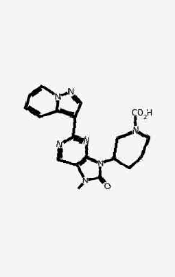 Cn1c(=O)n(C2CCCN(C(=O)O)C2)c2nc(-c3cnn4ccccc34)ncc21